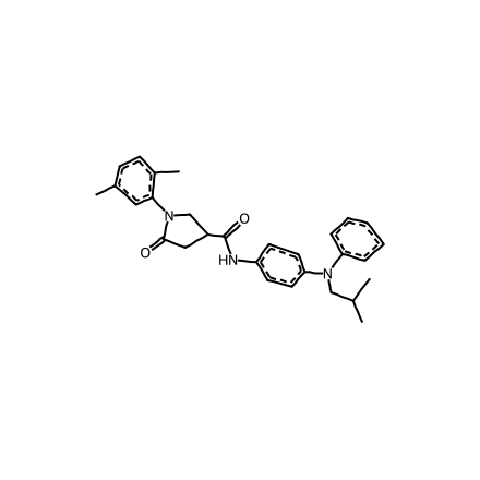 Cc1ccc(C)c(N2CC(C(=O)Nc3ccc(N(CC(C)C)c4ccccc4)cc3)CC2=O)c1